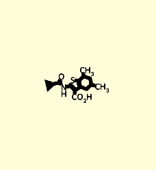 CC1Cc2c(sc(NC(=O)C3CC3)c2C(=O)O)C(C)C1